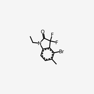 CCN1C(=O)C(F)(F)c2c1ccc(C)c2Br